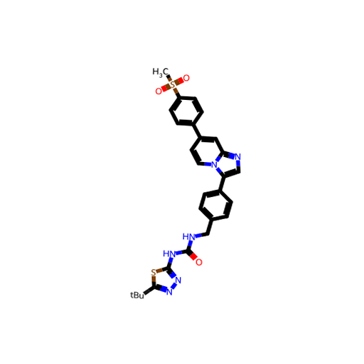 CC(C)(C)c1nnc(NC(=O)NCc2ccc(-c3cnc4cc(-c5ccc(S(C)(=O)=O)cc5)ccn34)cc2)s1